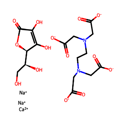 O=C([O-])CN(CCN(CC(=O)[O-])CC(=O)[O-])CC(=O)[O-].O=C1O[C@H]([C@@H](O)CO)C(O)=C1O.[Ca+2].[Na+].[Na+]